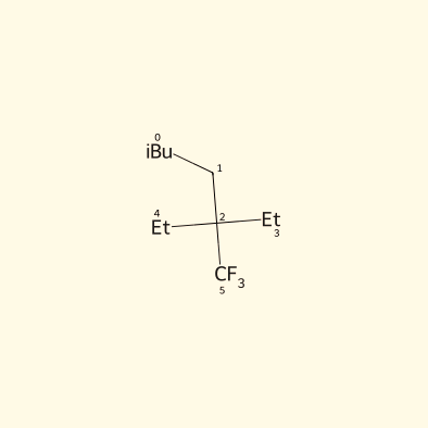 CCC(C)CC(CC)(CC)C(F)(F)F